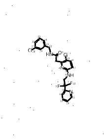 O=C(Cc1nc(NCC(F)(F)c2ccccn2)ccc1Cl)NCc1cccc(Cl)c1